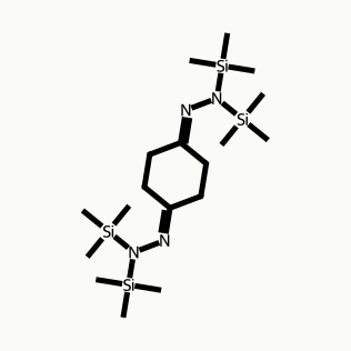 C[Si](C)(C)N(N=C1CCC(=NN([Si](C)(C)C)[Si](C)(C)C)CC1)[Si](C)(C)C